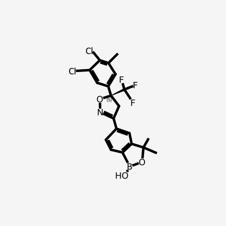 Cc1cc([C@]2(C(F)(F)F)CC(c3ccc4c(c3)C(C)(C)OB4O)=NO2)cc(Cl)c1Cl